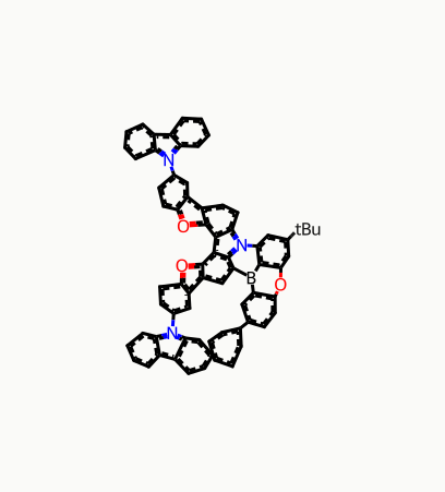 CC(C)(C)c1cc2c3c(c1)-n1c4ccc5c6cc(-n7c8ccccc8c8ccccc87)ccc6oc5c4c4c5oc6ccc(-n7c8ccccc8c8ccccc87)cc6c5cc(c41)B3c1cc(-c3ccccc3)ccc1O2